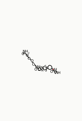 NC(=O)CCOCCOCCOCCOCCNC(=O)c1ccc2nc3c(nc2c1)CSC1C2CCCCC(NC(=O)C4CCNCC4)CCC2C1SC3